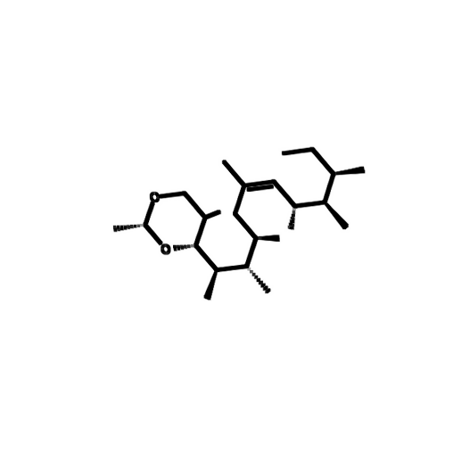 CC[C@@H](C)[C@@H](C)[C@H](C)/C=C(/C)C[C@@H](C)[C@H](C)[C@@H](C)[C@@H]1O[C@H](C)OCC1C